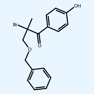 CC(Br)(COCc1ccccc1)C(=O)c1ccc(O)cc1